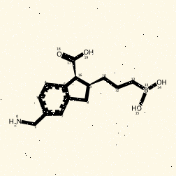 NCc1ccc2c(c1)C[C@H](CCCB(O)O)[C@@H]2C(=O)O